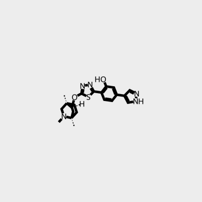 CN1C[C@@]2(C)CC[C@]1(C)C[C@@H]2Oc1nnc(-c2ccc(-c3cn[nH]c3)cc2O)s1